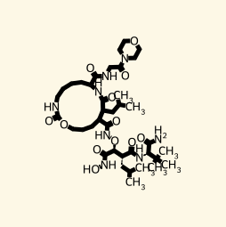 CC(C)CC1C(=O)NC(C(=O)NCC(=O)N2CCOCC2)CCCCNC(=O)OCCCC1C(=O)NO[C@H](C(=O)NO)[C@@H](CC(C)C)C(=O)N[C@H](C(N)=O)C(C)(C)C